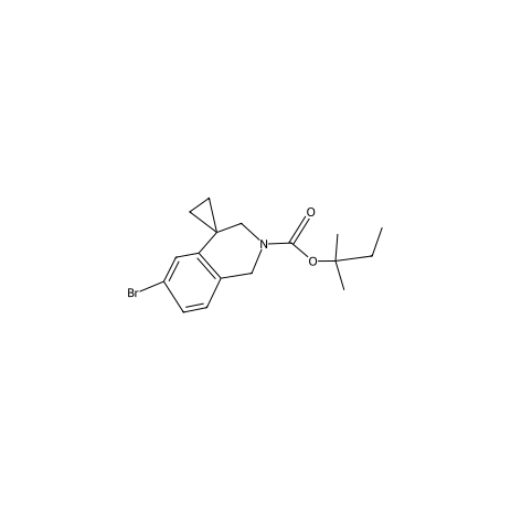 CCC(C)(C)OC(=O)N1Cc2ccc(Br)cc2C2(CC2)C1